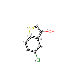 Oc1csc2ccc(Cl)cc12